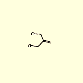 [CH]=C(CCl)CCl